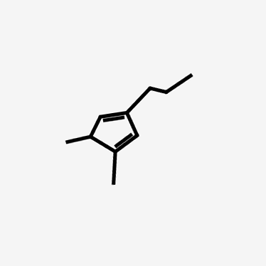 CCCC1=CC(C)C(C)=C1